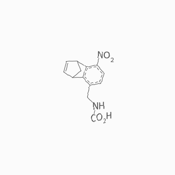 O=C(O)NCc1ccc([N+](=O)[O-])c2c1C1C=CC2C1